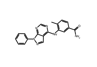 Cc1ccc(C(N)=O)cc1Nc1ncnc2c1cnn2-c1ccccc1